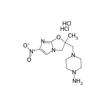 CC1(CN2CCN(N)CC2)Cn2cc([N+](=O)[O-])nc2O1.Cl.Cl